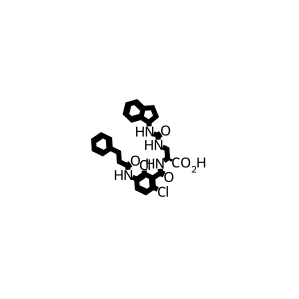 O=C(CCc1ccccc1)Nc1ccc(Cl)c(C(=O)N[C@@H](CNC(=O)NC2CCc3ccccc32)C(=O)O)c1Cl